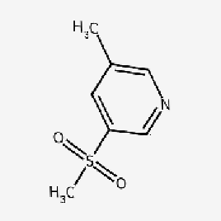 Cc1cn[c]c(S(C)(=O)=O)c1